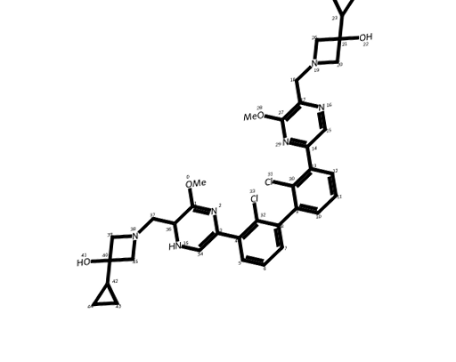 COC1=NC(c2cccc(-c3cccc(-c4cnc(CN5CC(O)(C6CC6)C5)c(OC)n4)c3Cl)c2Cl)=CNC1CN1CC(O)(C2CC2)C1